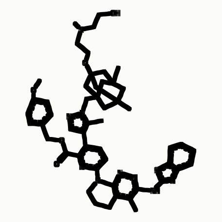 COc1ccc(COC(=O)c2nc(N3CCCc4c3nnc(Nc3nc5ccccc5s3)c4C)ccc2-c2cnn(CC34CC5(C)CC(C)(C3)CC(OCCN(C)CCO)(C5)C4)c2C)cc1